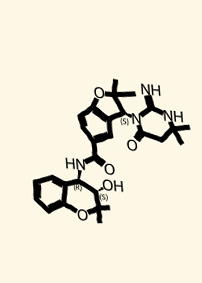 CC1(C)CC(=O)N([C@H]2c3cc(C(=O)N[C@@H]4c5ccccc5OC(C)(C)[C@H]4O)ccc3OC2(C)C)C(=N)N1